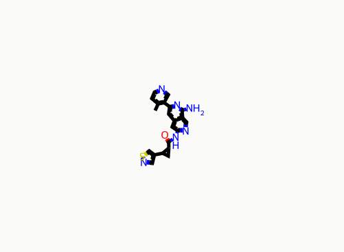 Cc1ccncc1-c1cc2cc(NC(=O)C3CC3c3cnsc3)ncc2c(N)n1